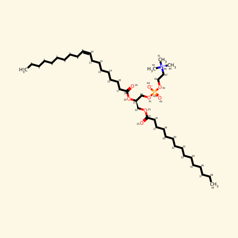 CCCCCCCCC/C=C\CCCCCCCC(=O)O[C@H](COC(=O)CCCCCCCCCCCCCC)COP(=O)([O-])OCC[N+](C)(C)C